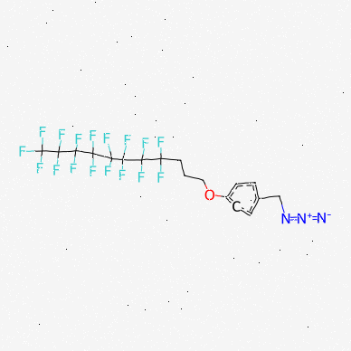 [N-]=[N+]=NCc1ccc(OCCCC(F)(F)C(F)(F)C(F)(F)C(F)(F)C(F)(F)C(F)(F)C(F)(F)C(F)(F)F)cc1